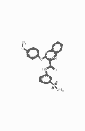 CS(=O)(=O)c1cccc(NC(=O)c2nc3ccccc3nc2Oc2ccc(OC(F)(F)F)cc2)c1